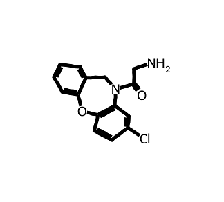 NCC(=O)N1Cc2ccccc2Oc2ccc(Cl)cc21